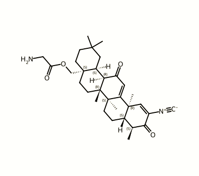 [C-]#[N+]C1=C[C@]2(C)C3=CC(=O)[C@@H]4[C@@H]5CC(C)(C)CC[C@]5(COC(=O)CN)CC[C@@]4(C)[C@]3(C)CC[C@H]2[C@H](C)C1=O